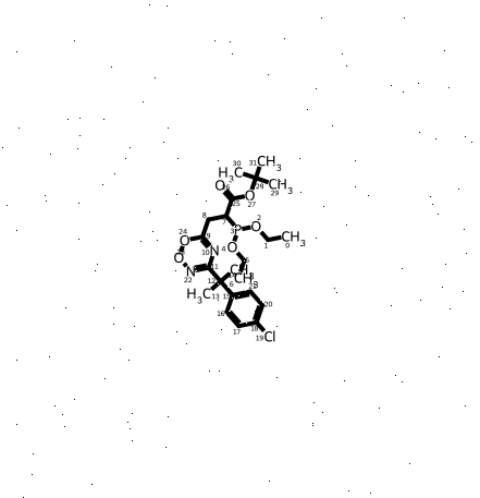 CCOP(OCC)C(CC1=NC(C(C)(C)c2ccc(Cl)cc2)=NOO1)C(=O)OC(C)(C)C